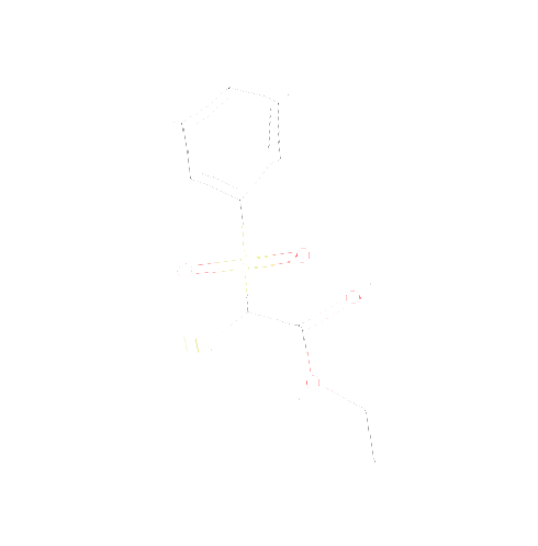 CCOC(=O)C(S)S(=O)(=O)c1ccccc1